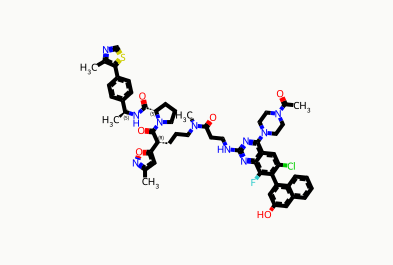 CC(=O)N1CCN(c2nc(NCCC(=O)N(C)CCC[C@@H](C(=O)N3CCC[C@H]3C(=O)N[C@@H](C)c3ccc(-c4scnc4C)cc3)c3cc(C)no3)nc3c(F)c(-c4cc(O)cc5ccccc45)c(Cl)cc23)CC1